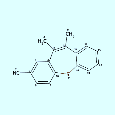 CC1=C(C)c2cc(C#N)ccc2Sc2ccccc21